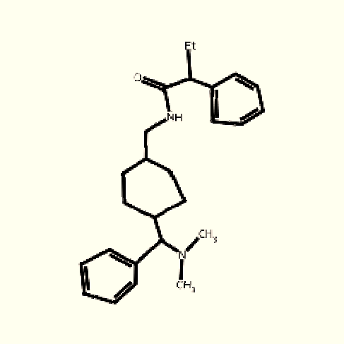 CCC(C(=O)NCC1CCC(C(c2ccccc2)N(C)C)CC1)c1ccccc1